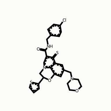 O=C(NCc1ccc(Cl)cc1)c1cn2c3c(cc(CN4CCOCC4)cc3c1=S)OC(c1cccs1)C2